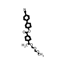 C=C(OCOCOC)c1ccc(C(=O)Oc2ccc(-c3ccc(C#N)cc3)cc2)cc1